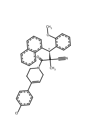 COc1ccccc1[C@H](c1cccc2ccccc12)C(C)(C#N)C(=O)N1CC=C(c2ccc(Cl)cc2)CC1